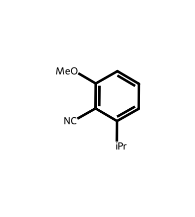 COc1cccc(C(C)C)c1C#N